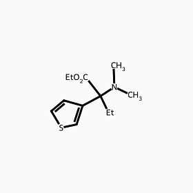 CCOC(=O)C(CC)(c1ccsc1)N(C)C